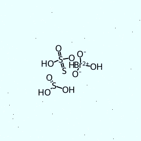 O=S(O)(O)=S.O=S(O)O.[O-][Br+2]([O-])O